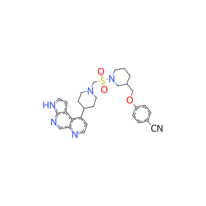 N#Cc1ccc(OCC2CCCN(S(=O)(=O)CN3CCC(c4ccnc5cnc6[nH]ccc6c45)CC3)C2)cc1